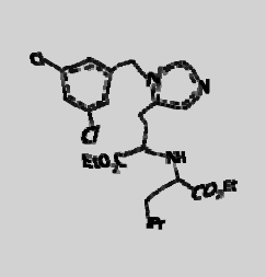 CCOC(=O)C(Cc1cncn1Cc1cc(Cl)cc(Cl)c1)NC(CC(C)C)C(=O)OCC